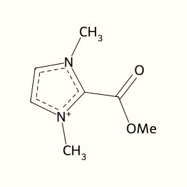 COC(=O)c1n(C)cc[n+]1C